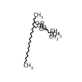 CCCCCCCCCCCCCCCCC(COP(=O)(O)OCCC[N+](C)(C)C)CC(=O)CCC